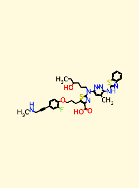 CCC(O)CCCN(c1cc(C)c(Nc2nc3ccccc3s2)nn1)c1nc(C(=O)O)c(CCCOc2ccc(C#CCNC)cc2F)s1